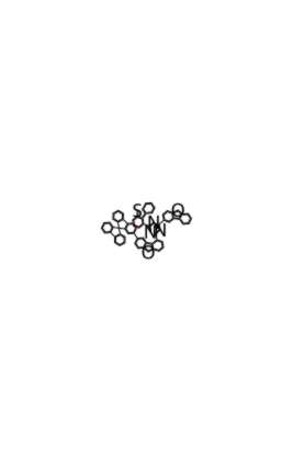 c1ccc2c(c1)-c1ccccc1C21c2ccccc2-c2ccc(-c3ccc4oc5cccc(-c6nc(-c7ccc8oc9ccccc9c8c7)nc(-c7cccc8sc9ccccc9c78)n6)c5c4c3)cc21